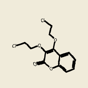 O=c1oc2ccccc2c(OCCCl)c1OCCCl